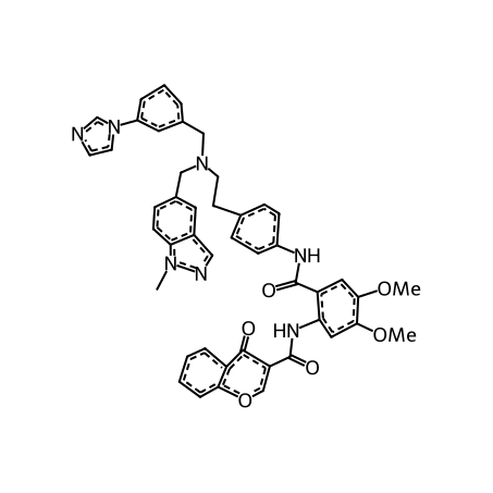 COc1cc(NC(=O)c2coc3ccccc3c2=O)c(C(=O)Nc2ccc(CCN(Cc3cccc(-n4ccnc4)c3)Cc3ccc4c(cnn4C)c3)cc2)cc1OC